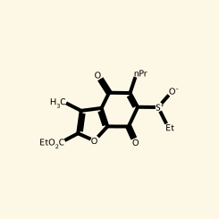 CCCC1=C([S+]([O-])CC)C(=O)c2oc(C(=O)OCC)c(C)c2C1=O